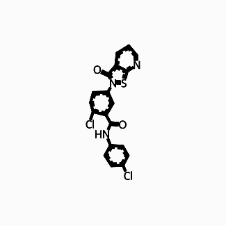 O=C(Nc1ccc(Cl)cc1)c1cc(-n2sc3ncccc3c2=O)ccc1Cl